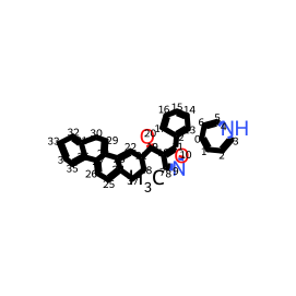 C1=CC=CNC=C1.Cc1noc(-c2ccccc2)c1C(=O)C1C=c2c(ccc3c2=CCc2ccccc2-3)CC1